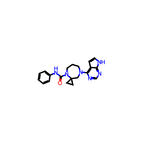 O=C(Nc1ccccc1)N1CCCN(c2ncnc3[nH]ccc23)CC12CC2